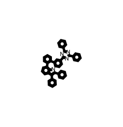 c1ccc(-c2nc(-c3ccccc3)nc(-c3ccc4c(c3)-c3ccccc3-c3cccc5c(-c6ccccc6)c(-c6ccccc6)n-4c35)n2)cc1